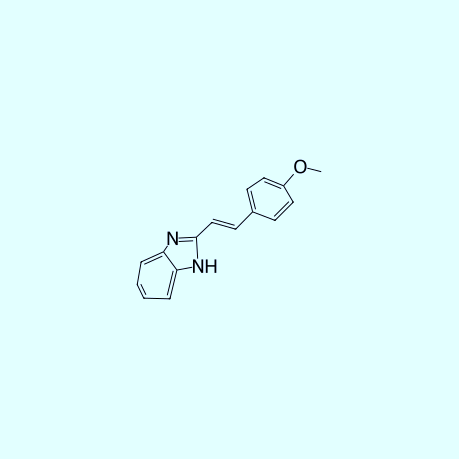 COc1ccc(/C=C/c2nc3ccccc3[nH]2)cc1